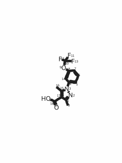 Cc1nn(-c2cccc(OC(F)(F)F)c2)c(C)c1C(=O)O